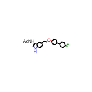 CC(=O)Nc1c[nH]c2ccc(CCOc3ccc(C4CCC(F)(F)CC4)cc3)cc12